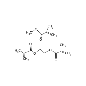 C=C(C)C(=O)OC.C=C(C)C(=O)OCCOC(=O)C(=C)C